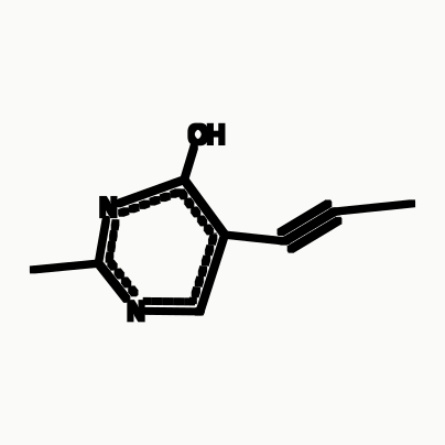 CC#Cc1cnc(C)nc1O